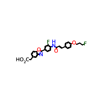 O=C(O)Cc1ccc2oc(-c3ccc(NC(=O)C=Cc4ccc(OCCCF)cc4)c(F)c3)nc2c1